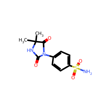 CC1(C)NC(=O)N(c2ccc(S(N)(=O)=O)cc2)C1=O